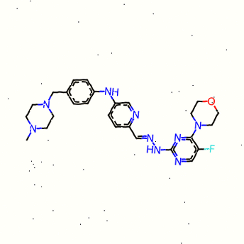 CN1CCN(Cc2ccc(Nc3ccc(/C=N/Nc4ncc(F)c(N5CCOCC5)n4)nc3)cc2)CC1